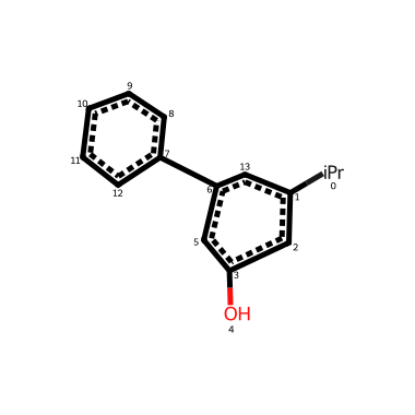 CC(C)c1cc(O)cc(-c2ccccc2)c1